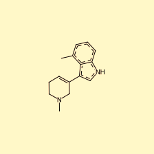 Cc1cccc2[nH]cc(C3=CCCN(C)C3)c12